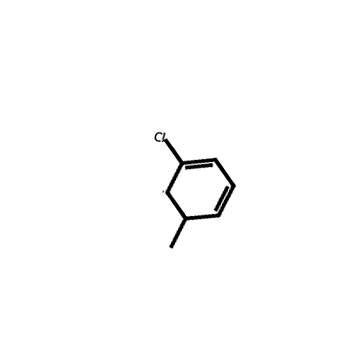 CC1[CH]C(Cl)=CC=C1